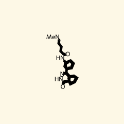 CNCCCCC(=O)Nc1cccc(-c2n[nH]c(=O)c3ccccc23)c1